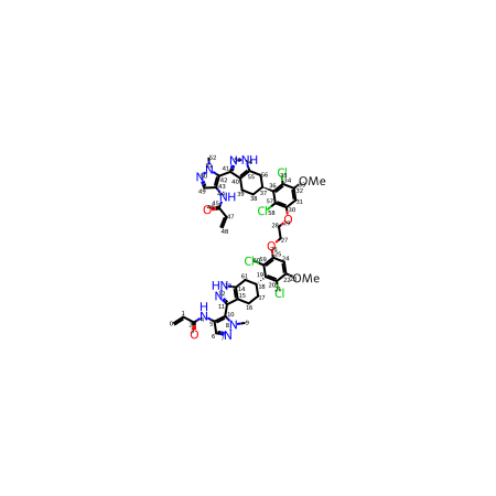 C=CC(=O)Nc1cnn(C)c1-c1n[nH]c2c1CC[C@@H](c1c(Cl)c(OC)cc(OCCOc3cc(OC)c(Cl)c([C@H]4CCc5c(-c6c(NC(=O)C=C)cnn6C)n[nH]c5C4)c3Cl)c1Cl)C2